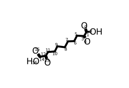 O=C(O)C(=O)CCCCCCCC(=O)C(=O)O